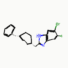 Fc1cc2nc(C[C@H]3CC[C@@H](c4ccccc4)CC3)[nH]c2cc1Br